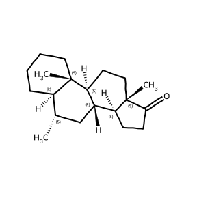 C[C@H]1C[C@@H]2[C@H](CC[C@]3(C)C(=O)CC[C@@H]23)[C@@]2(C)CCCC[C@H]12